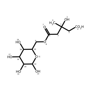 CC(O)(CC(=O)O)CC(=O)OCC1OC(O)C(O)C(O)C1O